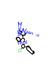 Nc1cc(C(Cc2nc3c(-c4ccccc4)cc(Cl)cc3[nH]2)c2ccccc2)c2nn[nH]c2n1